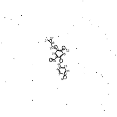 COc1ccc(COc2cc(OC)c(OCC3CC3)cc2C=O)cc1